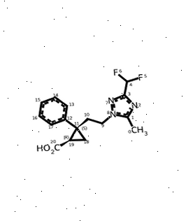 Cc1nc(C(F)F)nn1CC[C@@]1(c2ccccc2)C[C@H]1C(=O)O